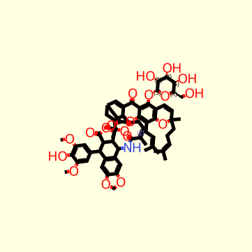 COc1cc(C2c3cc4c(cc3C(NC(=O)/C(C)=C\CC35OC(C)(C)C6CC(C=C7C(=O)c8c(O[C@@H]9O[C@H](CO)[C@@H](O)[C@@H](O)[C@H]9O)c9c(c(CC=C(C)C)c8OC763)OC(C)(CCC=C(C)C)C=C9)C5=O)C3COC(=O)C23)OCO4)cc(OC)c1O